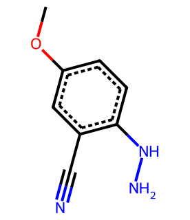 COc1ccc(NN)c(C#N)c1